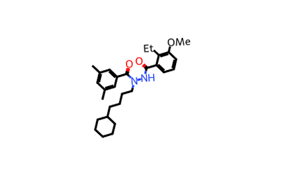 CCc1c(OC)cccc1C(=O)NN(CCCCC1CCCCC1)C(=O)c1cc(C)cc(C)c1